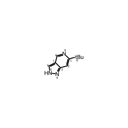 CC(C)(C)c1cc2n[nH]cc2cn1